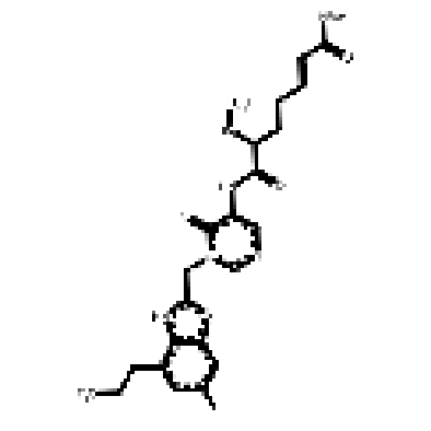 CNC(=O)C=CCCC(NC(=O)O)C(=O)Nc1cncn(Cc2nc3cc(F)cc(CCC(F)(F)F)c3[nH]2)c1=O